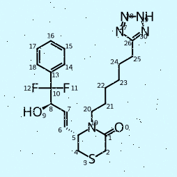 O=C1CSC[C@H](C=C[C@@H](O)C(F)(F)c2ccccc2)N1CCCCCCc1nn[nH]n1